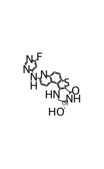 O=C1N[C@H](CO)CNc2c1sc1ccc3nc(Nc4cc(F)ncn4)ccc3c21